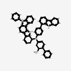 CC1CC(N(c2ccc(-c3cccc4c3sc3ccccc34)cc2)C2CC=Cc3c2oc2c3ccc3c2c2ccccc2n3-c2ccccc2)=CC=C1c1ccccc1